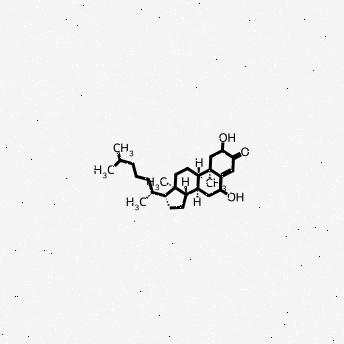 CC(C)CCC[C@@H](C)[C@H]1CC[C@H]2[C@@H]3CC(O)C4=CC(=O)C(O)C[C@]4(C)[C@H]3CC[C@]12C